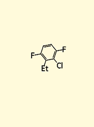 CCc1c(F)ccc(F)c1Cl